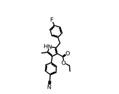 CCOC(=O)c1c(Cc2ccc(F)cc2)[nH]c(C)c1-c1ccc(C#N)cc1